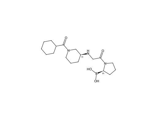 O=C(C1CCCCC1)N1CCC[C@H](NCC(=O)N2CCC[C@H]2B(O)O)C1